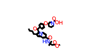 CCCCc1cc2cc(C(=O)NC(C)(C)CC(=O)OC)ccn2c1C(=O)c1ccc(O[C@@H]2CCCN(C(=O)O)C2)cc1